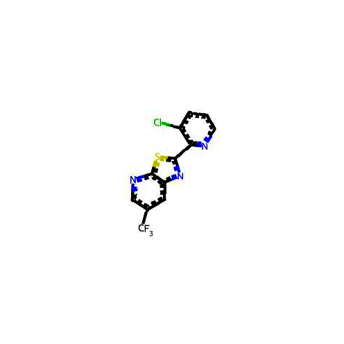 FC(F)(F)c1cnc2sc(-c3ncccc3Cl)nc2c1